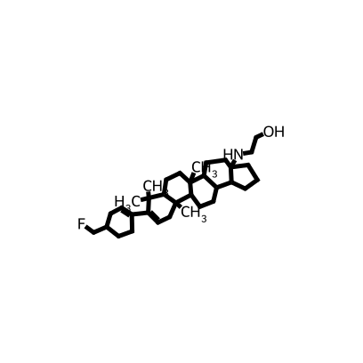 CC1(C)C(C2=CCC(CF)CC2)=CCC2(C)C1CCC1(C)C3CCC4(NCCO)CCCC4C3CCC12